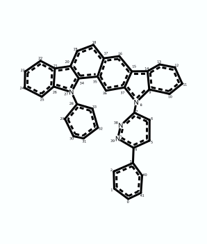 c1ccc(-c2ccc(-n3c4ccccc4c4cc5ccc6c7ccccc7n(-c7ccccc7)c6c5cc43)nn2)cc1